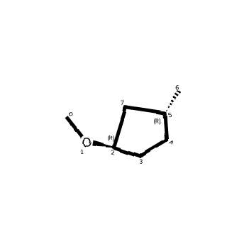 CO[C@@H]1CC[C@@H](C)C1